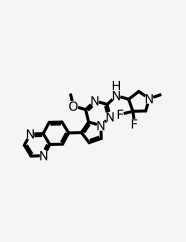 COc1nc(NC2CN(C)CC2(F)F)nn2ccc(-c3ccc4nccnc4c3)c12